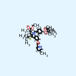 CCOC(=O)C(C)(C)Cc1c(SC(C)(C)C)c2cc(OCc3ccc(C)cn3)ccc2n1Cc1ccc(B2OC(C)(C)C(C)(C)O2)cc1